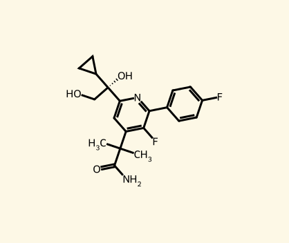 CC(C)(C(N)=O)c1cc([C@@](O)(CO)C2CC2)nc(-c2ccc(F)cc2)c1F